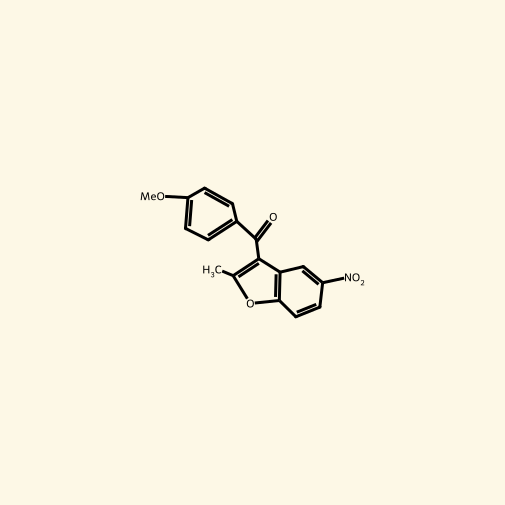 COc1ccc(C(=O)c2c(C)oc3ccc([N+](=O)[O-])cc23)cc1